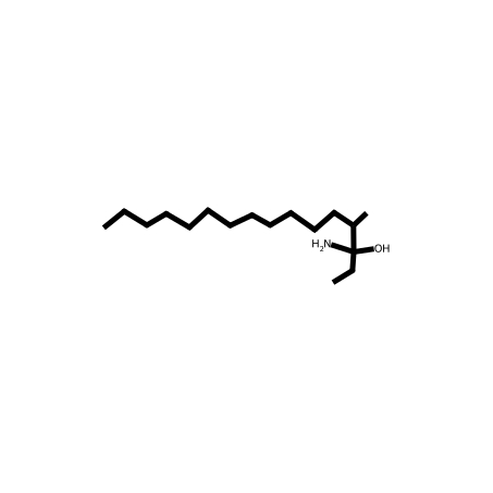 CCCCCCCCCCCCC(C)C(N)(O)CC